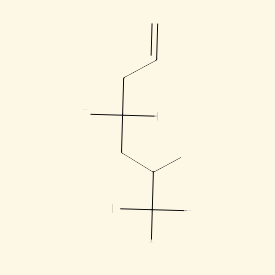 C=CCC(F)(F)CC(F)C(F)(F)F